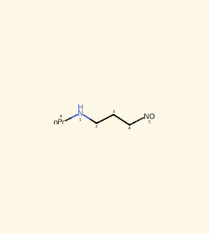 CCCNCCCN=O